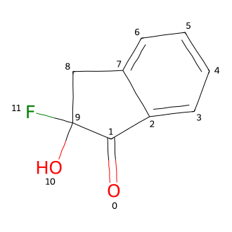 O=C1c2ccccc2CC1(O)F